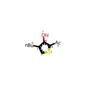 CCCCc1csc(C(C)=O)c1O